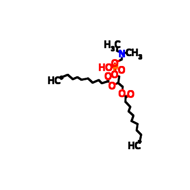 C#CCCCCCCCCC(=O)OCC(COP(=O)(O)OCN(C)CC)OC(=O)CCCCCCCCC#C